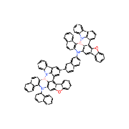 c1ccc2c(N3c4cc5oc6ccccc6c5c5c4B(c4ccc6ccccc6c43)n3c4ccccc4c4cc(-c6ccc7ccc(N8c9cc%10c(oc%11ccccc%11%10)c%10c9B(c9c8ccc8ccccc98)n8c9ccccc9c9cccc-%10c98)cc7c6)cc-5c43)cccc2c1